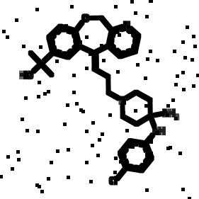 CC(C)(O)c1ccc2c(c1)/C(=C/CCN1CCC(N)(Nc3ccc(Cl)cc3)CC1)c1cccnc1CO2